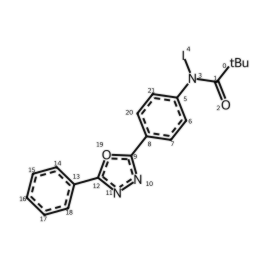 CC(C)(C)C(=O)N(I)c1ccc(-c2nnc(-c3ccccc3)o2)cc1